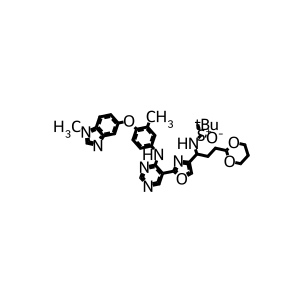 Cc1cc(Nc2ncncc2-c2nc(C(CCC3OCCCO3)N[S+]([O-])C(C)(C)C)co2)ccc1Oc1ccc2c(c1)ncn2C